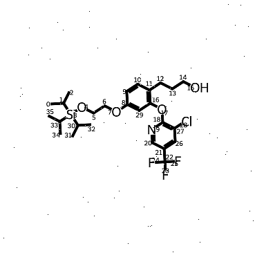 CC(C)[Si](OCCOc1ccc(CCCO)c(Oc2ncc(C(F)(F)F)cc2Cl)c1)(C(C)C)C(C)C